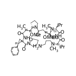 CC[C@H](C)[C@@H]([C@@H](CC(=O)N1CCC[C@H]1[C@H](OC)[C@@H](C)C(=O)N[C@@]1(C(=O)N2CCCCO2)C[C@@H]1c1ccccc1)OC)N(C)[C@H](C(=O)NC(=O)[C@H](C(C)C)N(C)CCCN)C(C)C